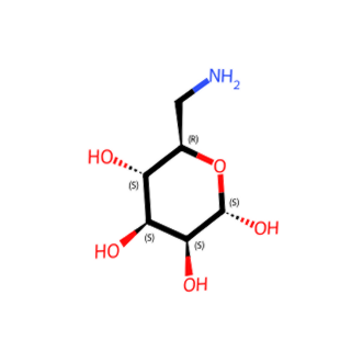 NC[C@H]1O[C@H](O)[C@@H](O)[C@@H](O)[C@@H]1O